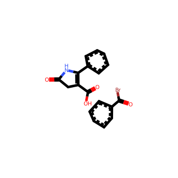 O=C(Br)c1ccccc1.O=C1CC(C(=O)O)=C(c2ccccc2)N1